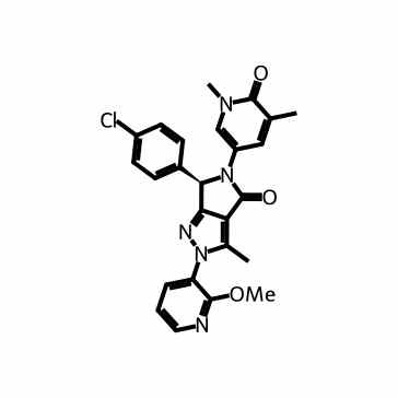 COc1ncccc1-n1nc2c(c1C)C(=O)N(c1cc(C)c(=O)n(C)c1)[C@@H]2c1ccc(Cl)cc1